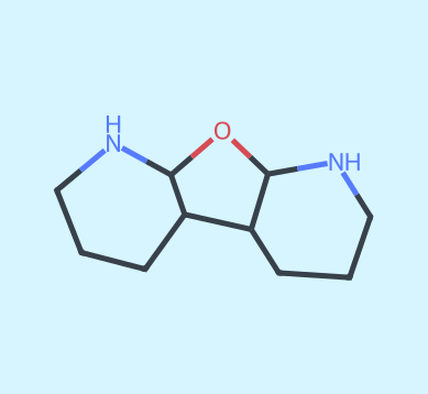 C1CNC2OC3NCCCC3C2C1